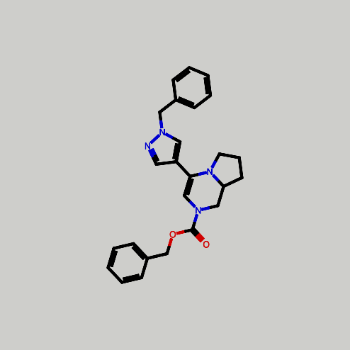 O=C(OCc1ccccc1)N1C=C(c2cnn(Cc3ccccc3)c2)N2CCCC2C1